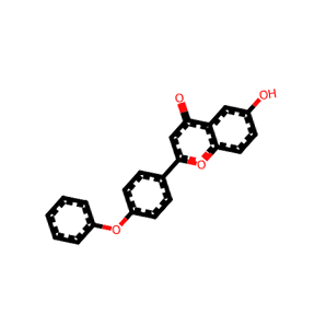 O=c1cc(-c2ccc(Oc3ccccc3)cc2)oc2ccc(O)cc12